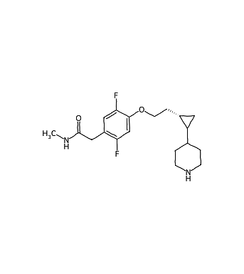 CNC(=O)Cc1cc(F)c(OCC[C@@H]2CC2C2CCNCC2)cc1F